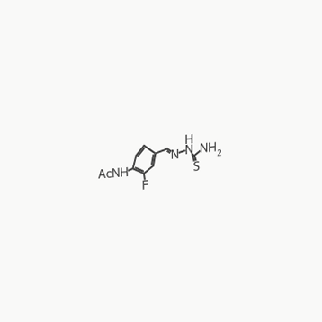 CC(=O)Nc1ccc(/C=N/NC(N)=S)cc1F